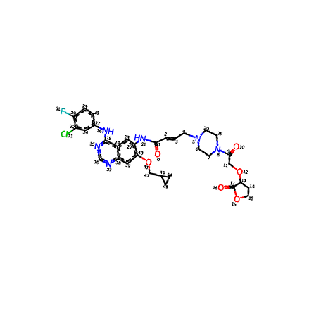 O=C(/C=C/CN1CCN(C(=O)COC2CCOC2=O)CC1)Nc1cc2c(Nc3ccc(F)c(Cl)c3)ncnc2cc1OCC1CC1